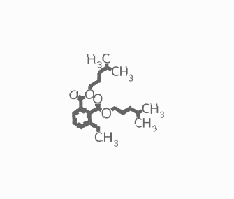 CCc1cccc(C(=O)OCCCC(C)C)c1C(=O)OCCCC(C)C